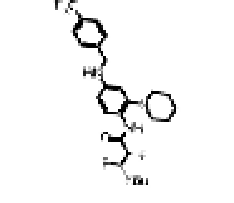 CCCC[C@H](F)[C@@H](F)C(=O)Nc1ccc(NCc2ccc(C(F)(F)F)cc2)cc1N1CCCCC1